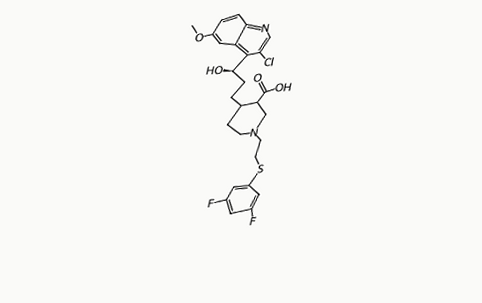 COc1ccc2ncc(Cl)c([C@H](O)CCC3CCN(CCSc4cc(F)cc(F)c4)CC3C(=O)O)c2c1